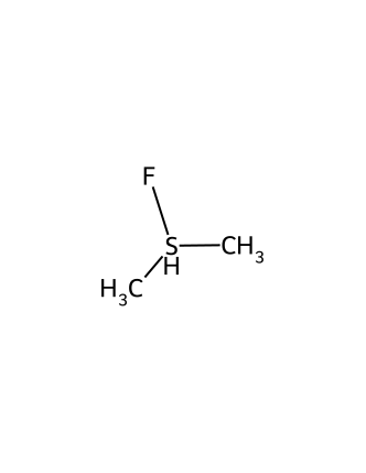 C[SH](C)F